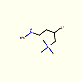 CCC(CCNC(C)(C)C)C[N+](C)(C)C